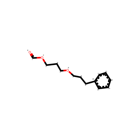 O=[C]OCCCOCCCc1ccccc1